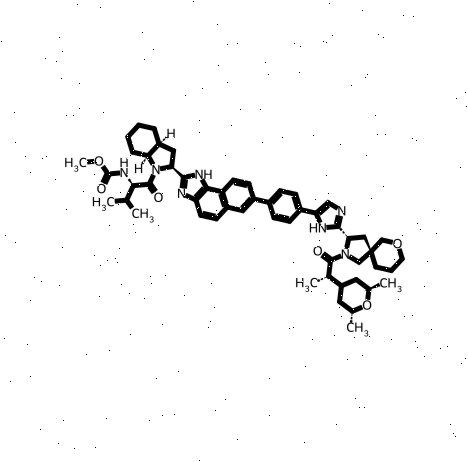 COC(=O)N[C@H](C(=O)N1[C@H](c2nc3ccc4cc(-c5ccc(-c6cnc([C@@H]7C[C@@]8(CCCOC8)CN7C(=O)[C@@H](C)C7C[C@@H](C)O[C@H](C)C7)[nH]6)cc5)ccc4c3[nH]2)C[C@@H]2CCCC[C@@H]21)C(C)C